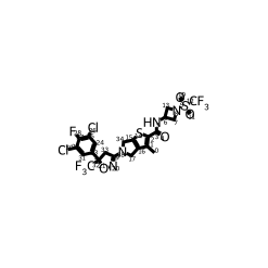 Cc1c(C(=O)NC2CN(S(=O)(=O)C(F)(F)F)C2)sc2c1CN(C1=NOC(c3cc(Cl)c(F)c(Cl)c3)(C(F)(F)F)C1)C2